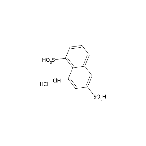 Cl.Cl.O=S(=O)(O)c1ccc2c(S(=O)(=O)O)cccc2c1